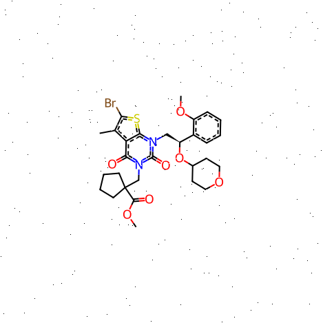 COC(=O)C1(Cn2c(=O)c3c(C)c(Br)sc3n(C[C@H](OC3CCOCC3)c3ccccc3OC)c2=O)CCCC1